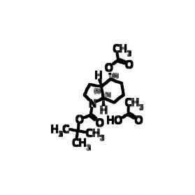 CC(=O)O.CC(=O)O[C@@H]1CCC[C@H]2[C@@H]1CCN2C(=O)OC(C)(C)C